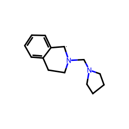 [CH]1c2ccccc2CCN1CN1CCCC1